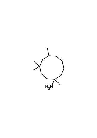 CC1CCCCC(C)(N)CCC(C)(C)C1